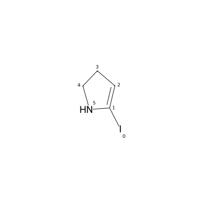 IC1=CCCN1